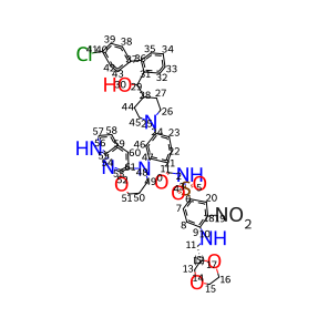 O=C(NS(=O)(=O)c1ccc(NC[C@H]2COCCO2)c([N+](=O)[O-])c1)c1ccc(N2CCC(C(O)c3ccccc3-c3ccc(Cl)cc3)CC2)cc1N1CCCOc2nc3[nH]ccc3cc21